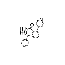 NC(=O)c1c(-c2ccncc2)cccc1C(O)c1ccccc1